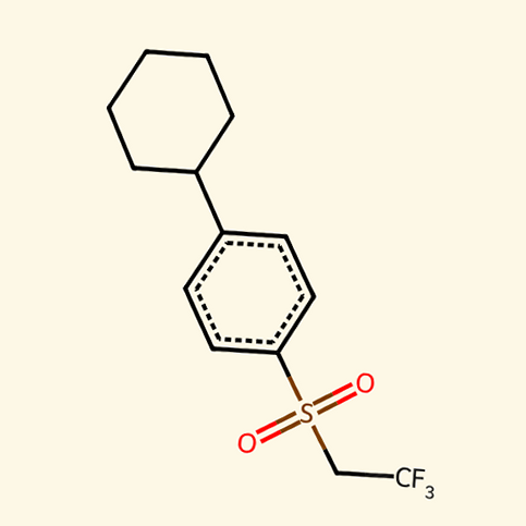 O=S(=O)(CC(F)(F)F)c1ccc(C2CCCCC2)cc1